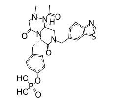 CC(=O)N1[C@H]2CN(Cc3ccc4ncsc4c3)C(=O)[C@H](Cc3ccc(OP(=O)(O)O)cc3)N2C(=O)CN1C